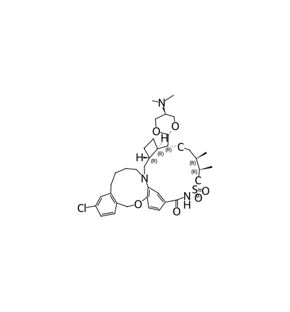 C[C@@H]1CC[C@@H]([C@H]2OC[C@H](N(C)C)CO2)[C@@H]2CC[C@H]2CN2CCCCc3cc(Cl)ccc3COc3ccc(cc32)C(=O)NS(=O)(=O)C[C@@H]1C